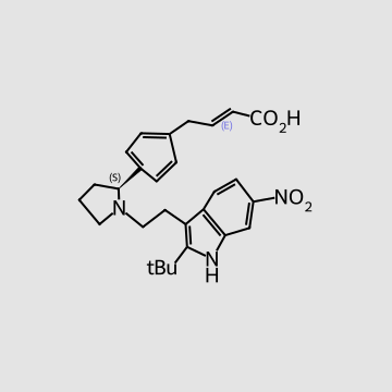 CC(C)(C)c1[nH]c2cc([N+](=O)[O-])ccc2c1CCN1CCC[C@H]1c1ccc(C/C=C/C(=O)O)cc1